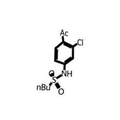 CCCCS(=O)(=O)Nc1ccc(C(C)=O)c(Cl)c1